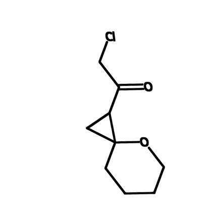 O=C(CCl)C1CC12CCCCO2